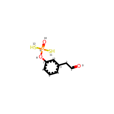 O=CCc1cccc(OP(=O)(S)S)c1